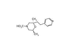 C[C@H]1CN(C(=O)O)C[C@@](C)(CCc2ccncc2)O1